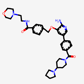 Nc1ncc(-c2ccc(C(=O)N3CCC(N4CCCC4)CC3)cc2)cc1OCc1ccc(C(=O)NCCN2CCOCC2)cc1